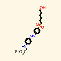 CCOC(=O)CN(C)c1ccc(/N=N/c2ccc(S(=O)(=O)CCCCCCO)cc2)cc1